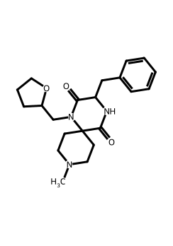 CN1CCC2(CC1)C(=O)NC(Cc1ccccc1)C(=O)N2CC1CCCO1